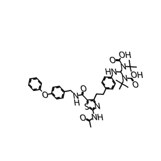 CC(=O)Nc1nc(CCc2ccc(NC(N(C(=O)O)C(C)(C)C)N(C(=O)O)C(C)(C)C)cc2)c(C(=O)NCc2ccc(Oc3ccccc3)cc2)s1